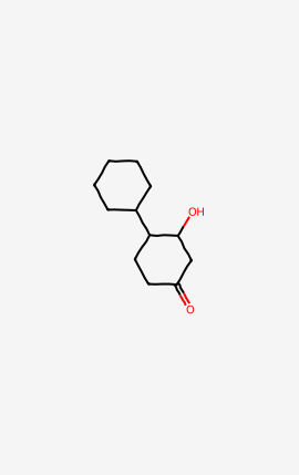 O=C1CCC(C2CCCCC2)C(O)C1